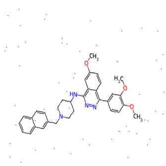 COc1ccc2c(-c3ccc(OC)c(OC)c3)nnc(NC3CCN(Cc4ccc5ccccc5c4)CC3)c2c1